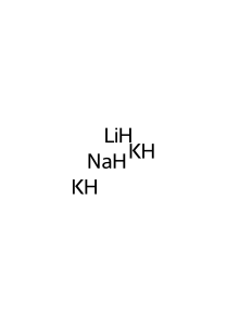 [KH].[KH].[LiH].[NaH]